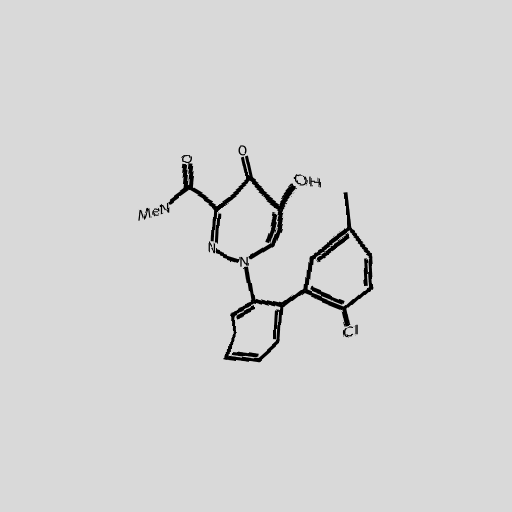 CNC(=O)c1nn(-c2ccccc2-c2cc(C)ccc2Cl)cc(O)c1=O